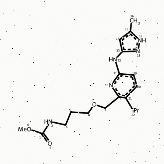 COC(=O)NCCCOCc1nc(Nc2cc(C)[nH]n2)ccc1C(C)C